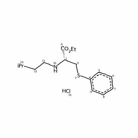 CCOC(=O)[C@H](CSc1ccccc1)NCCC(C)C.Cl